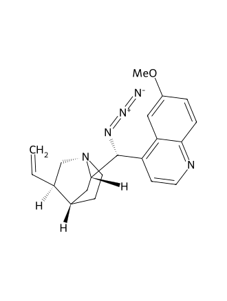 C=C[C@H]1C[N@]2CC[C@H]1C[C@H]2[C@H](N=[N+]=[N-])c1ccnc2ccc(OC)cc12